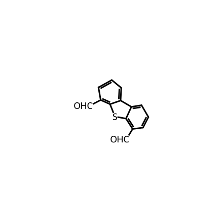 O=Cc1cccc2c1sc1c(C=O)cccc12